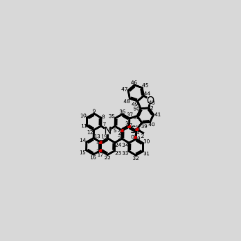 C[Si]1(C)c2cc(N(c3ccccc3-c3ccccc3)c3ccccc3-c3cccc4ccccc34)ccc2-c2c1ccc1oc3ccccc3c21